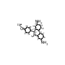 CN1c2cc(N)ccc2-c2ccc(N)cc2C1c1ccc(O[11CH3])cc1